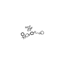 CC1(C)OC2(CCN(c3ccc(OCCCN4CCCCC4)cc3)CC2)c2ccccc21.O=C(O)C(F)(F)F